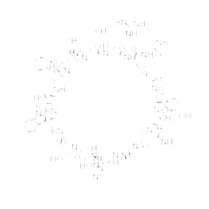 CCCC[C@H]1C(=O)N(C)[C@@H](CCCC)C(=O)N[C@@H](CCCNC(=N)N)C(=O)NC(C(=O)NCC(N)=O)CSCC(=O)N[C@@H](Cc2ccc(O)cc2)C(=O)N(C)[C@@H](C)C(=O)N[C@@H](CC(N)=O)C(=O)N2CCC[C@H]2C(=O)N[C@@H](Cc2cnc[nH]2)C(=O)N[C@@H](CO)C(=O)N2C[C@H](O)C[C@H]2C(=O)N[C@@H](Cc2c[nH]c3ccccc23)C(=O)N[C@@H](CO)C(=O)N[C@@H](Cc2csc3ccccc23)C(=O)N1C